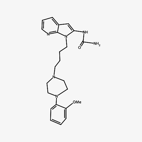 COc1ccccc1N1CCN(CCCCn2c(NC(N)=O)cc3cccnc32)CC1